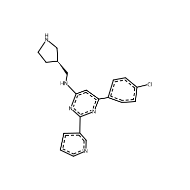 Clc1ccc(-c2cc(NC[C@H]3CCNC3)nc(-c3cccnc3)n2)cc1